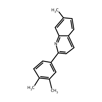 Cc1ccc2ccc(-c3ccc(C)c(C)c3)nc2c1